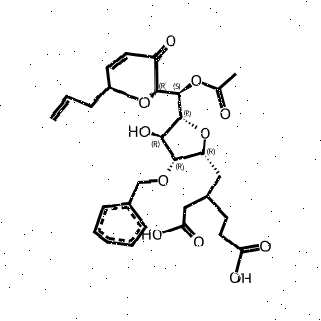 C=CCC1C=CC(=O)[C@@H]([C@@H](OC(C)=O)[C@@H]2O[C@H](CC(CCC(=O)O)CC(=O)O)[C@H](OCc3ccccc3)[C@H]2O)O1